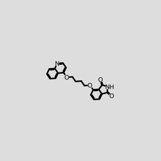 O=C1NC(=O)c2c(OCCCCOc3ccnc4ccccc34)cccc21